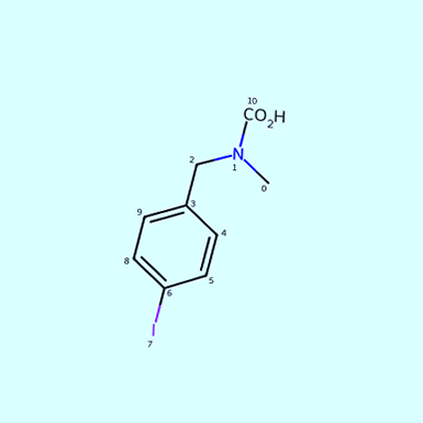 CN(Cc1ccc(I)cc1)C(=O)O